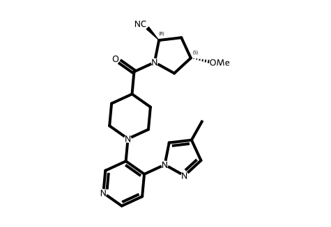 CO[C@H]1C[C@H](C#N)N(C(=O)C2CCN(c3cnccc3-n3cc(C)cn3)CC2)C1